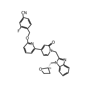 N#Cc1ccc(COc2cccc(-c3ccn(Cc4nc5ccccc5n4C[C@@H]4CCO4)c(=O)c3)n2)c(F)c1